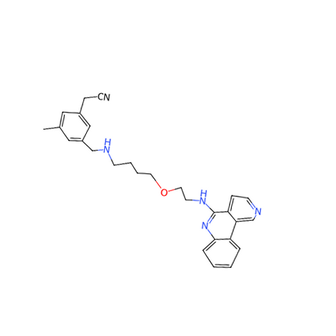 Cc1cc(CC#N)cc(CNCCCCOCCNc2nc3ccccc3c3cnccc23)c1